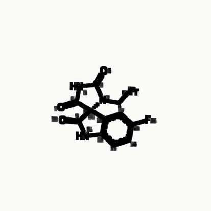 CC(C)CN1C(=O)NC(=O)[C@@]12C(=O)Nc1ccc(F)cc12